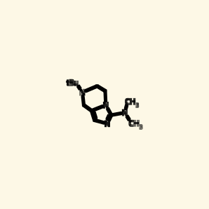 CN(C)c1ncc2n1CCN(C(C)(C)C)C2